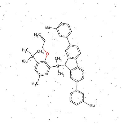 C=CCOc1c([Si](C)(C)C2c3cc(-c4cccc(C(C)CC)c4)ccc3-c3ccc(-c4cccc(C(C)CC)c4)cc32)cc(C)cc1[Si](C)(C)C(C)(C)C